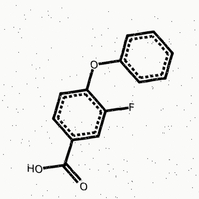 O=C(O)c1ccc(Oc2ccccc2)c(F)c1